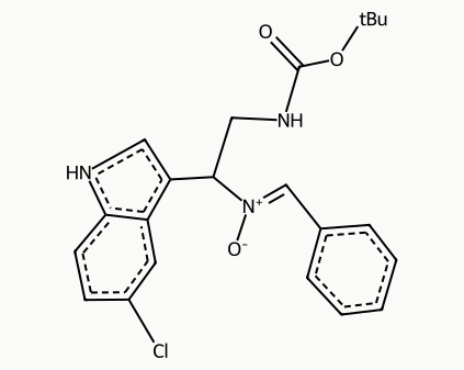 CC(C)(C)OC(=O)NCC(c1c[nH]c2ccc(Cl)cc12)/[N+]([O-])=C/c1ccccc1